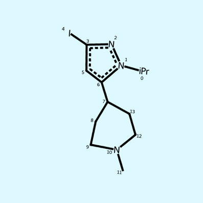 CC(C)n1nc(I)cc1C1CCN(C)CC1